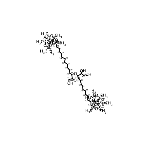 C[Si](C)(C)O[Si](C)(C)O[Si](C)(C)O[Si](C)(C)O[Si](C)(C)CCCCCCCCCCCC(OC(CCCCCCCCCCC[Si](C)(C)O[Si](C)(C)O[Si](C)(C)O[Si](C)(C)O[Si](C)(C)C)C(O)CO)C(O)CO